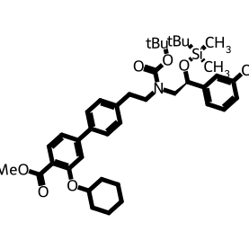 COC(=O)c1ccc(-c2ccc(CCN(C[C@@H](O[Si](C)(C)C(C)(C)C)c3cccc(Cl)c3)C(=O)OC(C)(C)C)cc2)cc1OC1CCCCC1